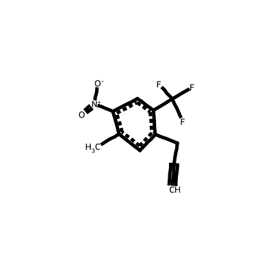 C#CCc1cc(C)c([N+](=O)[O-])cc1C(F)(F)F